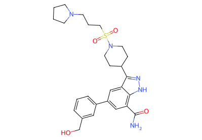 NC(=O)c1cc(-c2cccc(CO)c2)cc2c(C3CCN(S(=O)(=O)CCCN4CCCC4)CC3)n[nH]c12